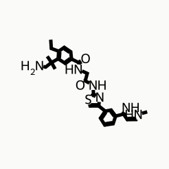 CCc1ccc(C(=O)NCC(=O)Nc2nc(-c3cccc(C(=N)/C=C\NC)c3)cs2)cc1C(C)(C)CN